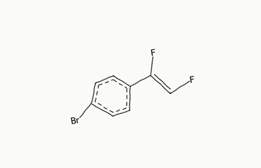 FC=C(F)c1ccc(Br)cc1